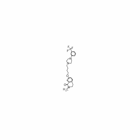 CN1CCc2ccc(OCCCCN3CCN(c4cccc(C(F)(F)F)c4)CC3)cc2C1=O